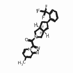 Cc1ccn2c(C(=O)N3C[C@H]4CC(c5ccccc5C(F)(F)F)C[C@H]4C3)nnc2c1